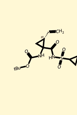 C=C[C@H]1CC1(NC(=O)OC(C)(C)C)C(=O)NS(=O)(=O)C1CC1